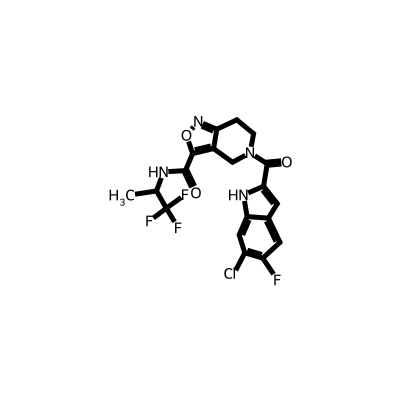 CC(NC(=O)c1onc2c1CN(C(=O)c1cc3cc(F)c(Cl)cc3[nH]1)CC2)C(F)(F)F